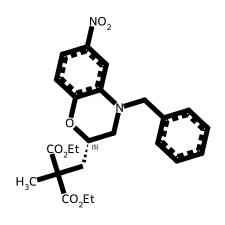 CCOC(=O)C(C)(C[C@H]1CN(Cc2ccccc2)c2cc([N+](=O)[O-])ccc2O1)C(=O)OCC